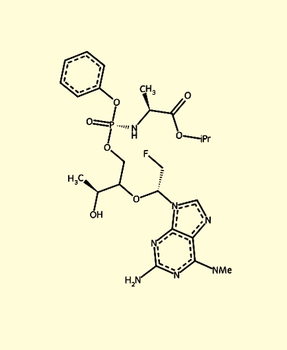 CNc1nc(N)nc2c1ncn2[C@@H](CF)OC(CO[P@](=O)(N[C@@H](C)C(=O)OC(C)C)Oc1ccccc1)[C@H](C)O